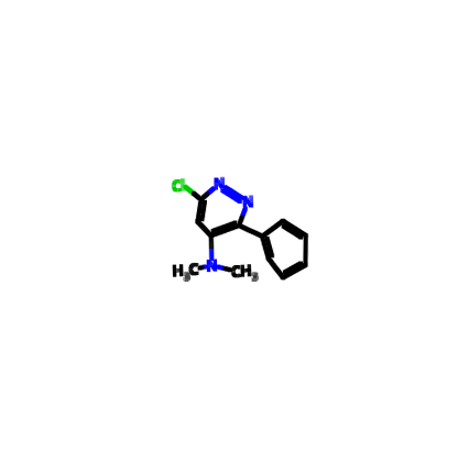 CN(C)c1cc(Cl)nnc1-c1ccccc1